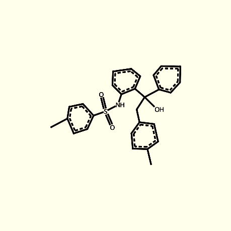 Cc1ccc(CC(O)(c2ccccc2)c2ccccc2NS(=O)(=O)c2ccc(C)cc2)cc1